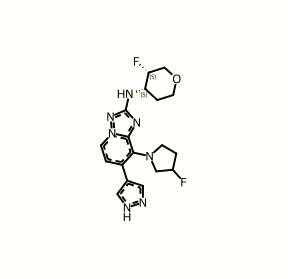 FC1CCN(c2c(-c3cn[nH]c3)ccn3nc(N[C@H]4CCOC[C@H]4F)nc23)C1